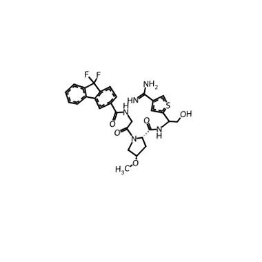 CO[C@@H]1C[C@@H](C(=O)NC(CO)c2cc(C(=N)N)cs2)N(C(=O)CNC(=O)c2ccc3c(c2)-c2ccccc2C3(F)F)C1